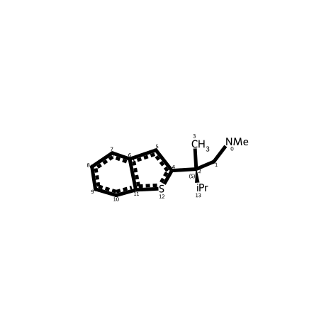 CNC[C@@](C)(c1cc2ccccc2s1)C(C)C